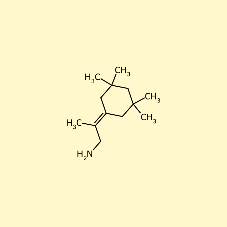 CC(CN)=C1CC(C)(C)CC(C)(C)C1